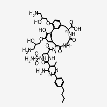 CCCCc1ccc(-c2nc(C)c(C(=O)NC(CNS(N)(=O)=O)C(=O)N(C)[C@@H]3C(=O)N[C@@H](C)C(=O)N[C@H](C(=O)O)Cc4ccc(OCC(O)CN)c(c4)-c4cc3cc(OCC(O)CN)c4O)c(N)n2)cc1